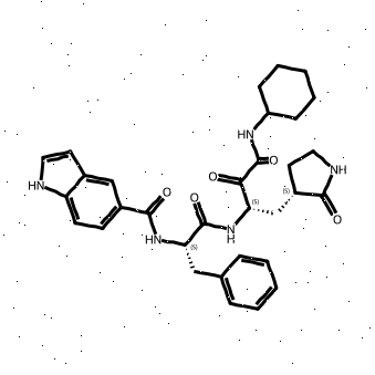 O=C(NC1CCCCC1)C(=O)[C@H](C[C@@H]1CCNC1=O)NC(=O)[C@H](Cc1ccccc1)NC(=O)c1ccc2[nH]ccc2c1